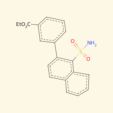 CCOC(=O)c1cccc(-c2ccc3ccccc3c2S(N)(=O)=O)c1